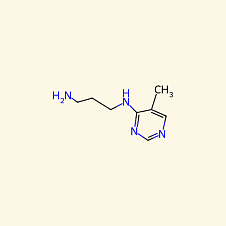 Cc1cncnc1NCCCN